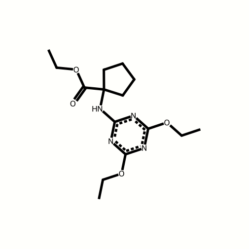 CCOC(=O)C1(Nc2nc(OCC)nc(OCC)n2)CCCC1